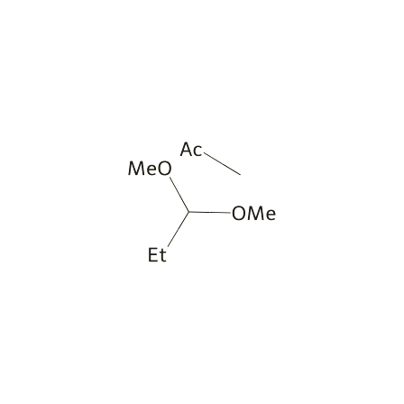 CC(C)=O.CCC(OC)OC